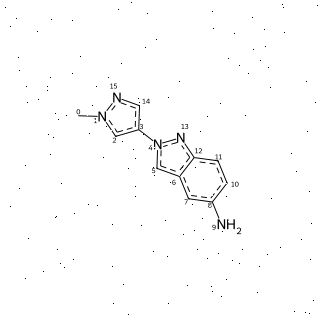 Cn1cc(-n2cc3cc(N)ccc3n2)cn1